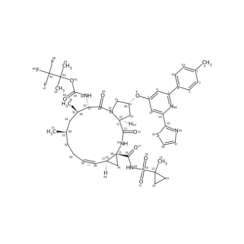 Cc1ccc(-c2cc(O[C@@H]3C[C@H]4C(=O)N[C@]5(C(=O)NS(=O)(=O)C6(C)CC6)C[C@H]5/C=C\CC[C@@H](C)C[C@@H](C)[C@H](NC(=O)OC(C)(C)C(F)(F)F)C(=O)N4C3)cc(-c3nccs3)n2)cc1